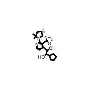 C[C@@H]1CN(c2nccc(C(O)C(O)C3CCCC3)c2C(N)=O)C(C)(C)C1